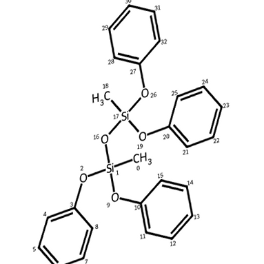 C[Si](Oc1ccccc1)(Oc1ccccc1)O[Si](C)(Oc1ccccc1)Oc1ccccc1